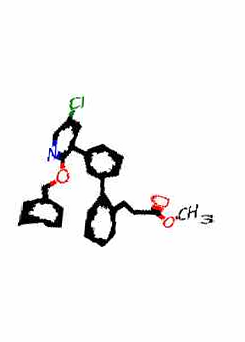 COC(=O)CCc1ccccc1-c1cccc(-c2cc(Cl)cnc2OCc2ccccc2)c1